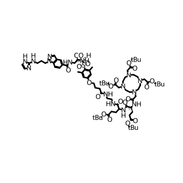 Cc1cc(OCCCC(=O)NCCNC(=O)C(CCC(=O)OC(C)(C)C)NC(=O)[C@H](CCC(=O)OC(C)(C)C)NC(=O)CN2CCN(CC(=O)OC(C)(C)C)CCN(CC(=O)OC(C)(C)C)CCN(CC(=O)OC(C)(C)C)CC2)cc(C)c1S(=O)(=O)N[C@@H](CNC(=O)c1ccc2c(cnn2CCCNc2ncc[nH]2)c1)C(=O)O